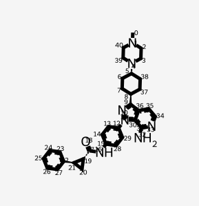 CN1CCN([C@H]2CC[C@H](c3nn(-c4ccc(NC(=O)[C@@H]5C[C@H]5c5ccccc5)cc4)c4c(N)nccc43)CC2)CC1